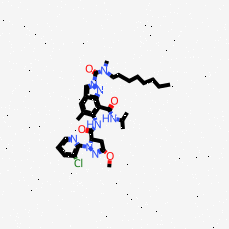 CCCCCCCCN(C)C(=O)n1cc2cc(C)c(NC(=O)C3CC(OC)=NN3c3ncccc3Cl)c(C(=O)NC(C)C)c2n1